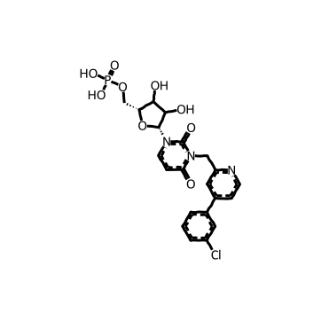 O=c1ccn([C@@H]2O[C@H](COP(=O)(O)O)C(O)C2O)c(=O)n1Cc1cc(-c2cccc(Cl)c2)ccn1